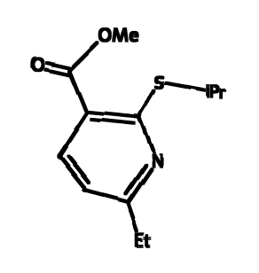 CCc1ccc(C(=O)OC)c(SC(C)C)n1